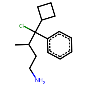 CC(CCN)C(Cl)(c1ccccc1)C1CCC1